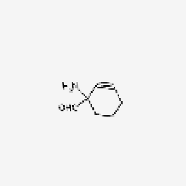 NC1(C=O)C#CCCC1